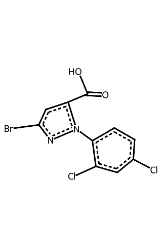 O=C(O)c1cc(Br)nn1-c1ccc(Cl)cc1Cl